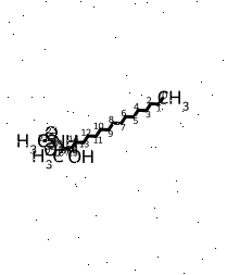 CCCCCCCCCCCCCCC[C@@H](O)[C@H](C)NS(C)(=O)=O